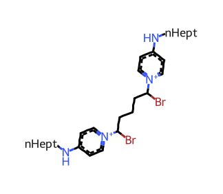 CCCCCCCNc1cc[n+](C(Br)CCCC(Br)[n+]2ccc(NCCCCCCC)cc2)cc1